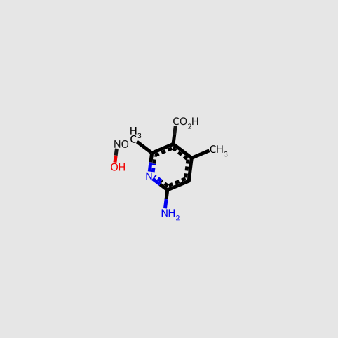 Cc1cc(N)nc(C)c1C(=O)O.O=NO